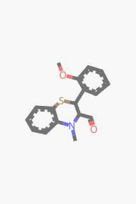 COc1ccccc1C1Sc2ccccc2N(C)C1C=O